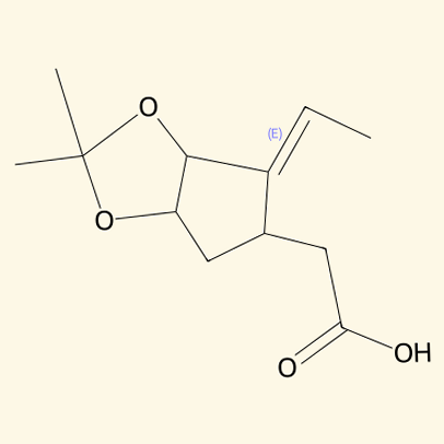 C/C=C1\C(CC(=O)O)CC2OC(C)(C)OC12